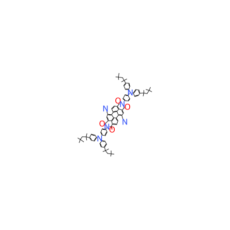 CC(C)(C)CC(C)(C)c1ccc(N(c2ccc(N3C(=O)c4ccc5c6c(C#N)cc7c8c(ccc(c9c(C#N)cc(c4c59)C3=O)c86)C(=O)N(c3ccc(N(c4ccc(C(C)(C)CC(C)(C)C)cc4)c4ccc(C(C)(C)CC(C)(C)C)cc4)cc3)C7=O)cc2)c2ccc(C(C)(C)CC(C)(C)C)cc2)cc1